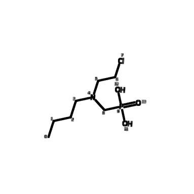 CCCCN(CCCl)CP(=O)(O)O